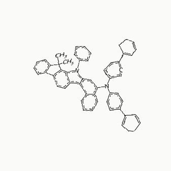 CC1(C)c2ccccc2-c2ccc3c4c5ccccc5c(N(c5ccc(C6=CCCC=C6)cc5)c5ccc(C6=CC=CCC6)cc5)cc4n(-c4ccccc4)c3c21